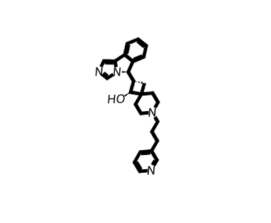 O[C@@H]1[C@H]([C@H]2c3ccccc3-c3cncn32)CC12CCN(CCCc1cccnc1)CC2